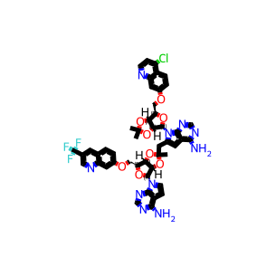 CC1(C)O[C@@H]2[C@H](O1)[C@@H](COc1ccc3c(Cl)ccnc3c1)O[C@H]2n1c(CC2(C)O[C@@H]3[C@H](O2)[C@@H](COc2ccc4cc(C(F)(F)F)cnc4c2)O[C@H]3n2ccc3c(N)ncnc32)cc2c(N)ncnc21